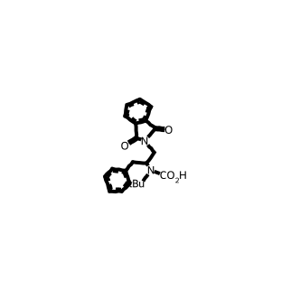 CC(C)(C)N(C(=O)O)C(Cc1ccccc1)CN1C(=O)c2ccccc2C1=O